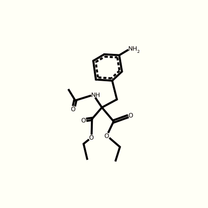 CCOC(=O)C(Cc1cccc(N)c1)(NC(C)=O)C(=O)OCC